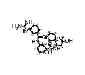 N=C(N)Nc1cccc(C(=O)Nc2cccc(S(=O)(=O)NC(CC(=O)O)c3cccnc3)c2)c1